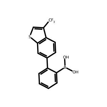 OB(O)c1ccccc1-c1ccc2c(C(F)(F)F)csc2c1